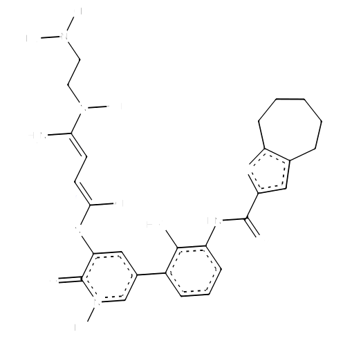 C/C(=C\C=C(/N)N(C)CCN(C)C)Nc1cc(-c2cccc(NC(=O)c3cc4c(s3)CCCCC4)c2C)cn(C)c1=O